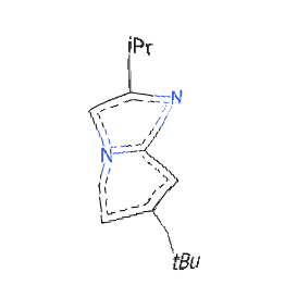 CC(C)c1cn2ccc(C(C)(C)C)cc2n1